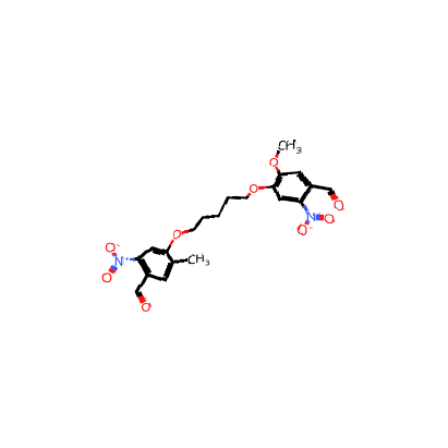 COc1cc(C=O)c([N+](=O)[O-])cc1OCCCCCOc1cc([N+](=O)[O-])c(C=O)cc1C